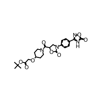 CC(C)(C)OC(=O)COC1CCN(C(=O)C2CN(c3ccc(-c4noc(=O)[nH]4)cc3)C(=O)O2)CC1